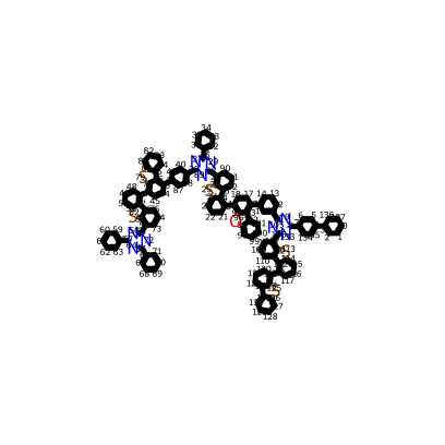 c1ccc(-c2ccc(-c3nc(-c4cccc(-c5ccc(-c6cccc7sc8c(-c9nc(-c%10ccccc%10)nc(-c%10ccc(-c%11ccc(-c%12cccc%13sc%14c(-c%15nc(-c%16ccccc%16)nc(-c%16ccccc%16)n%15)cccc%14c%12%13)c%12sc%13ccccc%13c%11%12)cc%10)n9)cccc8c67)c6oc7ccccc7c56)c4)nc(-c4cccc5c4sc4cccc(-c6cccc7c6sc6ccccc67)c45)n3)cc2)cc1